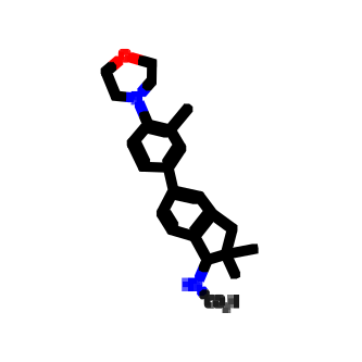 Cc1cc(-c2ccc3c(c2)CC(C)(C)C3NC(=O)O)ccc1N1CCOCC1